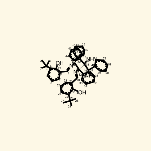 CC(C)(C)c1cccc(C=N[C@@H](c2ccccc2)[C@](N=Cc2cccc(C(C)(C)C)c2O)(c2ccccc2)C(N)(c2ccccc2)C(N)c2ccccc2)c1O